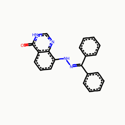 O=c1[nH]cnc2c(NN=C(c3ccccc3)c3ccccc3)cccc12